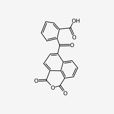 O=C(O)c1ccccc1C(=O)c1ccc2c3c(cccc13)C(=O)OC2=O